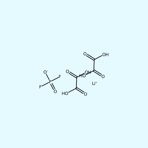 O=C(O)C(=O)O.O=C(O)C(=O)O.O=P([O-])(F)F.[Li+]